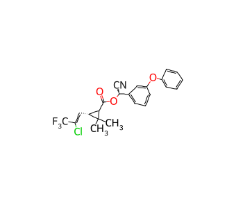 CC1(C)C(C(=O)O[C@@H](C#N)c2cccc(Oc3ccccc3)c2)[C@H]1/C=C(\Cl)C(F)(F)F